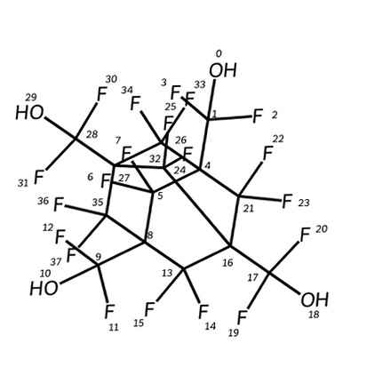 OC(F)(F)C12C(F)(F)C3(C(O)(F)F)C(F)(F)C(C(O)(F)F)(C1(F)F)C(F)(F)C(C(O)(F)F)(C2(F)F)C3(F)F